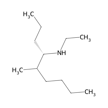 CCCCC(C)[C@H](CCC)NCC